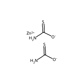 NC([O-])=S.NC([O-])=S.[Zn+2]